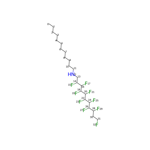 CCCCCCCCCCCCNCC(F)C(F)C(F)C(F)C(F)C(F)C(F)C(F)CCF